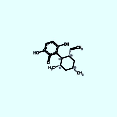 C=C[C@@H]1C[C@H](C)C[C@H](C)[C@H]1c1c(O)ccn(O)c1=O